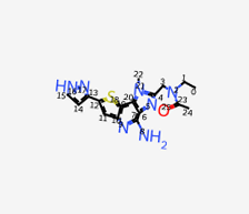 CCN(Cc1nc2c(N)nc3cc(-c4cc[nH]n4)sc3c2n1C)C(C)=O